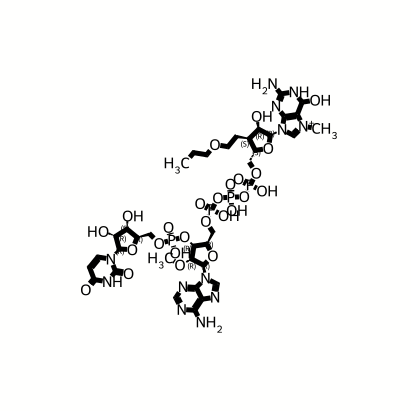 CCCOCC[C@H]1[C@@H](O)[C@H](n2c[n+](C)c3c2N=C(N)NC3O)O[C@@H]1COP(=O)(O)OP(=O)(O)OP(=O)(O)OC[C@H]1O[C@@H](n2cnc3c(N)ncnc32)[C@H](OC)[C@@H]1OP(=O)(O)OC[C@H]1O[C@@H](n2ccc(=O)[nH]c2=O)[C@H](O)[C@@H]1O